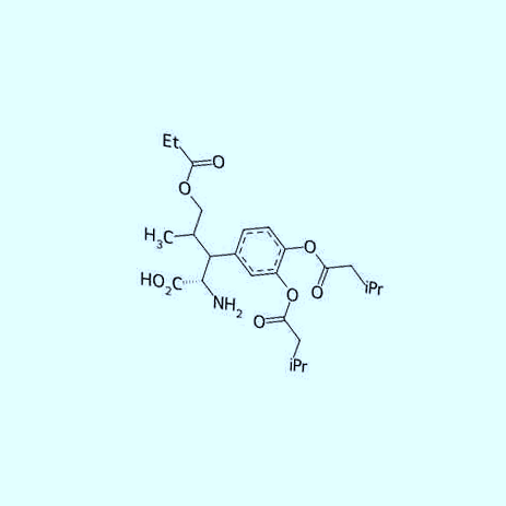 CCC(=O)OCC(C)C(c1ccc(OC(=O)CC(C)C)c(OC(=O)CC(C)C)c1)[C@H](N)C(=O)O